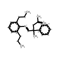 C=C(C)CC(C)(/C=N/c1c(CCC)cccc1CCC)c1ccccc1